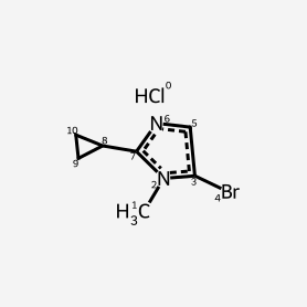 Cl.Cn1c(Br)cnc1C1CC1